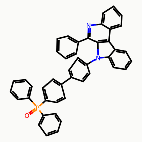 O=P(c1ccccc1)(c1ccccc1)c1ccc(-c2ccc(-n3c4ccccc4c4c5ccccc5nc(-c5ccccc5)c43)cc2)cc1